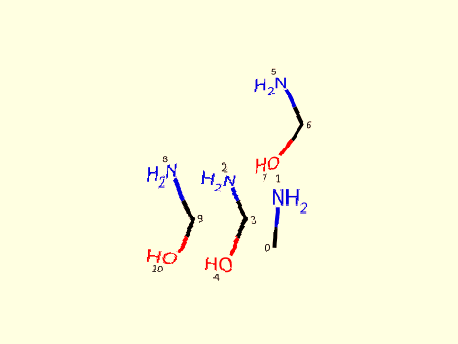 CN.NCO.NCO.NCO